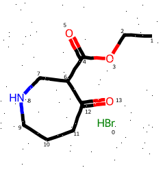 Br.CCOC(=O)C1CNCCCC1=O